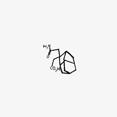 NC(=O)CC1(CC(=O)O)C2CC3CC(C2)CC1C3